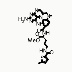 COC(=O)[C@H](CCCNC(=O)c1ccc(C)s1)NC(=O)c1ccc(N(C)Cc2cnc3nc(N)nc(N)c3n2)cc1